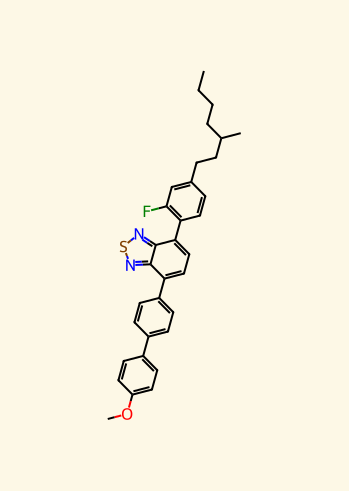 CCCCC(C)CCc1ccc(-c2ccc(-c3ccc(-c4ccc(OC)cc4)cc3)c3nsnc23)c(F)c1